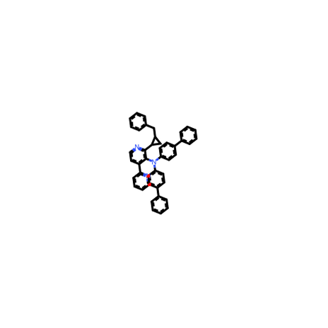 c1ccc(CC2CC2c2nccc(-c3ccccn3)c2N(c2ccc(-c3ccccc3)cc2)c2ccc(-c3ccccc3)cc2)cc1